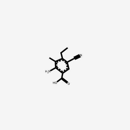 CCc1c(C#N)cc(C(=O)O)c(N)c1C